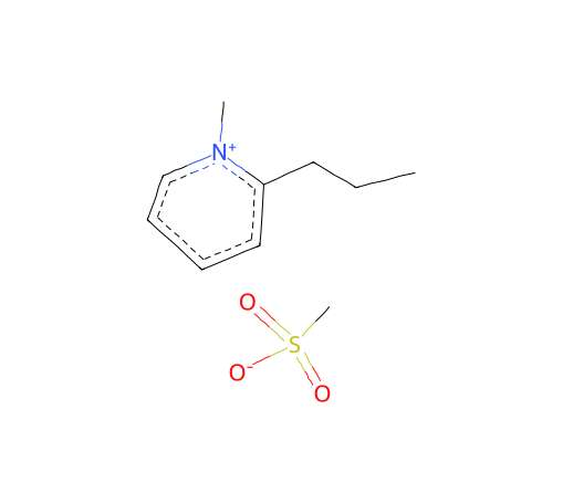 CCCc1cccc[n+]1C.CS(=O)(=O)[O-]